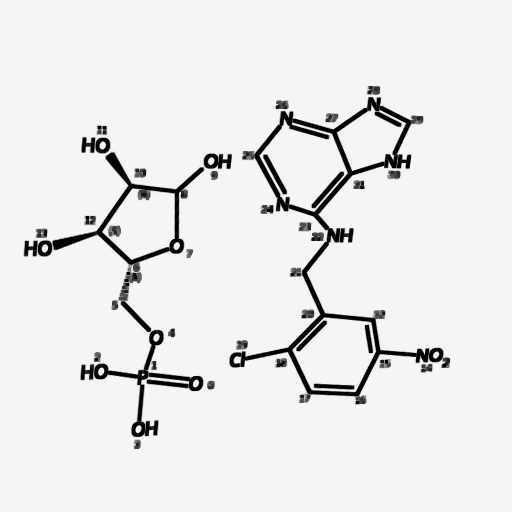 O=P(O)(O)OC[C@H]1OC(O)[C@H](O)[C@@H]1O.O=[N+]([O-])c1ccc(Cl)c(CNc2ncnc3nc[nH]c23)c1